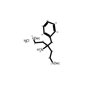 CCCCCCCCCCCCC(N)(CCCCCCCCCCCC)Cc1ccccc1.Cl